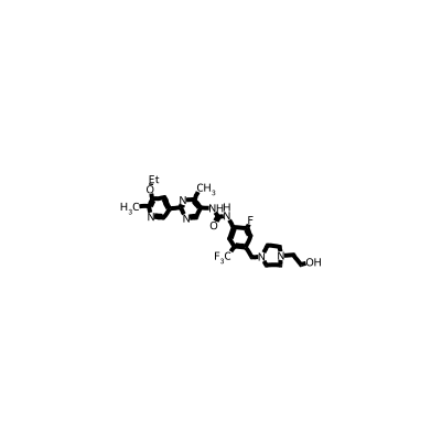 CCOc1cc(-c2ncc(NC(=O)Nc3cc(C(F)(F)F)c(CN4CCN(CCO)CC4)cc3F)c(C)n2)cnc1C